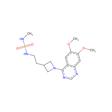 CNS(=O)(=O)NCCC1CN(c2ncnc3cc(OC)c(OC)cc23)C1